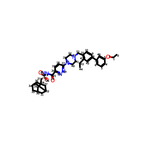 CCOc1cccc(-c2ccc(CN3CCN(c4ccc(C(=O)NS(=O)(=O)CC56CC7CC(CC(C7)C5)C6)nn4)CC3)c(CC)c2)c1